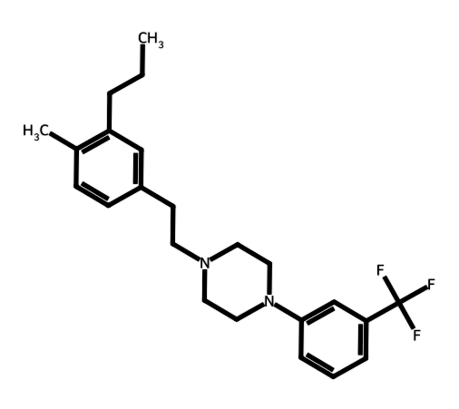 CCCc1cc(CCN2CCN(c3cccc(C(F)(F)F)c3)CC2)ccc1C